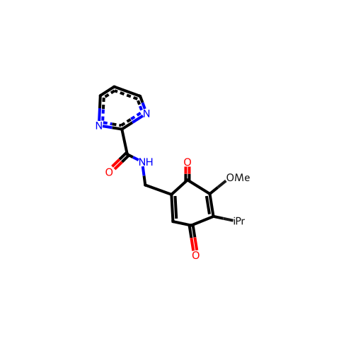 COC1=C(C(C)C)C(=O)C=C(CNC(=O)c2ncccn2)C1=O